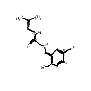 CC(C)=NNC(=S)NCc1cc(F)ccc1Br